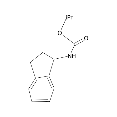 CC(C)OC(=O)NC1CCc2ccccc21